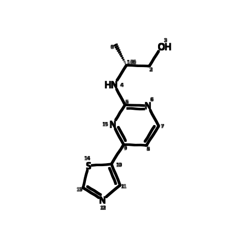 C[C@H](CO)Nc1nccc(-c2cncs2)n1